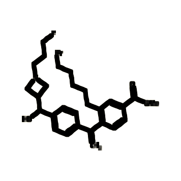 C=C(c1ccc(C(O)C2CN(CCCF)C2)cc1)c1ccc(C(=O)OC)cc1CCCCCC(C)C